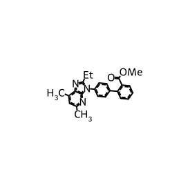 CCc1nc2c(C)cc(C)nc2n1-c1ccc(-c2ccccc2C(=O)OC)cc1